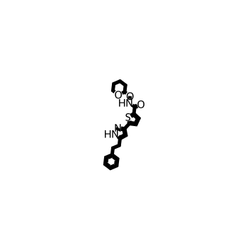 O=C(NOC1CCCCO1)c1ccc(-c2cc(CCc3ccccc3)[nH]n2)s1